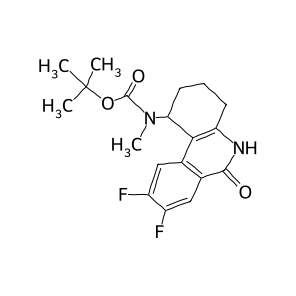 CN(C(=O)OC(C)(C)C)C1CCCc2[nH]c(=O)c3cc(F)c(F)cc3c21